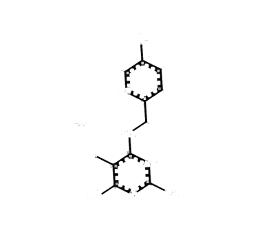 Br.Cc1nc(C)c(Cl)c(NCc2ccc(O)cn2)n1